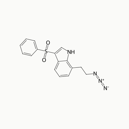 [N-]=[N+]=NCCc1cccc2c(S(=O)(=O)c3ccccc3)c[nH]c12